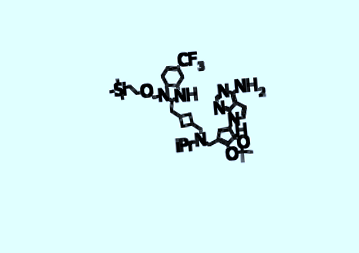 CC(C)N(CC1=C2OC(C)(C)O[C@H]2C(n2ccc3c(N)ncnc32)=C1)CC1CC(CC2NC3CC(C(F)(F)F)=CCC3N2COCC[Si](C)(C)C)C1